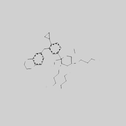 CCCCO[C@H]1[C@H](OCCCC)[C@@H](CO)OC(OC)(c2ccc(C3CC3)c(Cc3ccc4c(c3)OCCO4)c2)[C@@H]1OCCCC